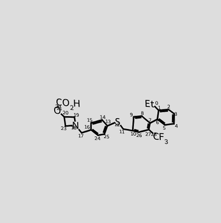 CCc1ccccc1-c1ccc(CSc2ccc(CN3CC(OC(=O)O)C3)cc2)cc1C(F)(F)F